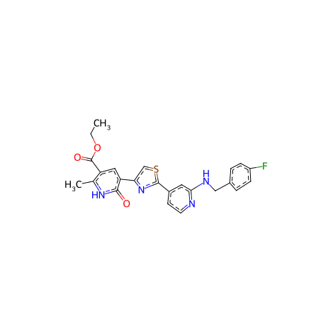 CCOC(=O)c1cc(-c2csc(-c3ccnc(NCc4ccc(F)cc4)c3)n2)c(=O)[nH]c1C